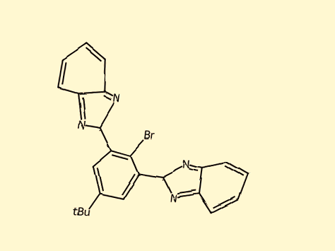 CC(C)(C)c1cc([C]2N=c3ccccc3=N2)c(Br)c([C]2N=c3ccccc3=N2)c1